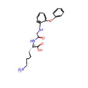 NCCCC[C@H](NC(=O)CNc1ccccc1Oc1ccccc1)C(=O)O